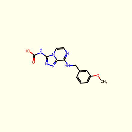 COc1cccc(CNc2nccn3c(NC(=O)O)nnc23)c1